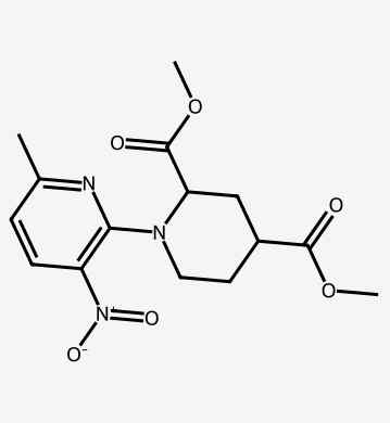 COC(=O)C1CCN(c2nc(C)ccc2[N+](=O)[O-])C(C(=O)OC)C1